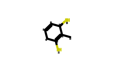 CC1=C(S)CC=CC1S